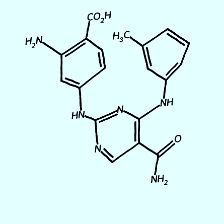 Cc1cccc(Nc2nc(Nc3ccc(C(=O)O)c(N)c3)ncc2C(N)=O)c1